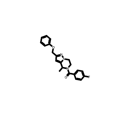 CC1c2cc(COc3ccccc3)nn2CCN1C(=O)c1ccc(F)cc1